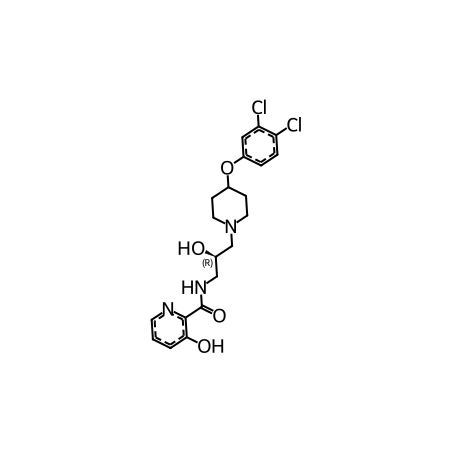 O=C(NC[C@@H](O)CN1CCC(Oc2ccc(Cl)c(Cl)c2)CC1)c1ncccc1O